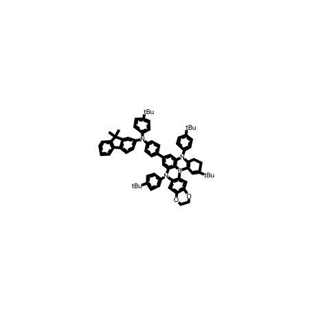 CC(C)(C)C1=CC2=C(CC1)N(c1ccc(C(C)(C)C)cc1)c1cc(-c3ccc(N(c4ccc(C(C)(C)C)cc4)c4ccc5c(c4)C(C)(C)c4ccccc4-5)cc3)cc3c1B2c1cc2c(cc1N3c1ccc(C(C)(C)C)cc1)OCCO2